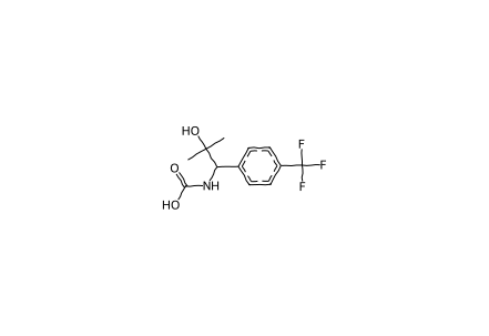 CC(C)(O)C(NC(=O)O)c1ccc(C(F)(F)F)cc1